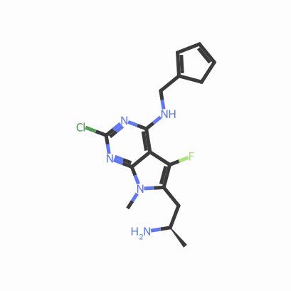 C[C@@H](N)Cc1c(F)c2c(NCC3=CC=CC3)nc(Cl)nc2n1C